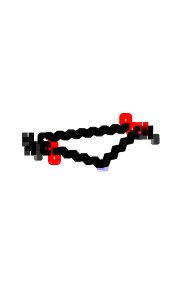 CCCCCCCC/C=C\CCCCCCCC(=O)OC.CCCCCCCCCCCCCCCC(=O)O